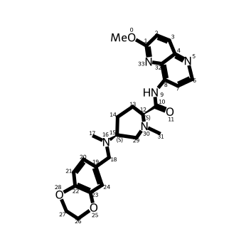 COc1ccc2nccc(NC(=O)[C@@H]3CC[C@H](N(C)Cc4ccc5c(c4)OCCO5)CN3C)c2n1